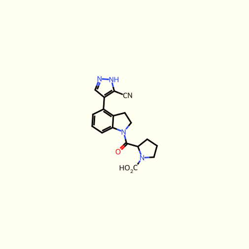 N#Cc1[nH]ncc1-c1cccc2c1CCN2C(=O)C1CCCN1C(=O)O